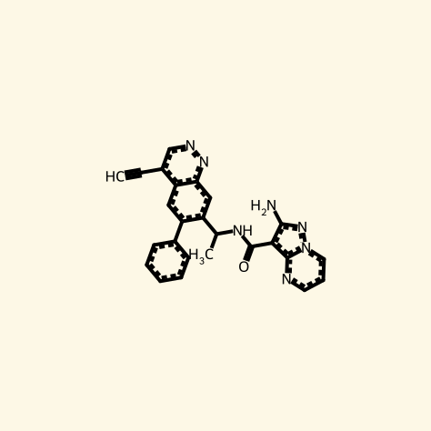 C#Cc1cnnc2cc(C(C)NC(=O)c3c(N)nn4cccnc34)c(-c3ccccc3)cc12